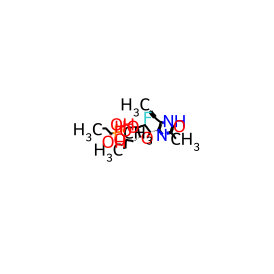 CC#Cc1[nH]c(=O)c(C)nc1[C@@H]1O[C@H](CC(C)(CC)OP(=O)(O)C(O)CC)C(O)[C@@H]1F